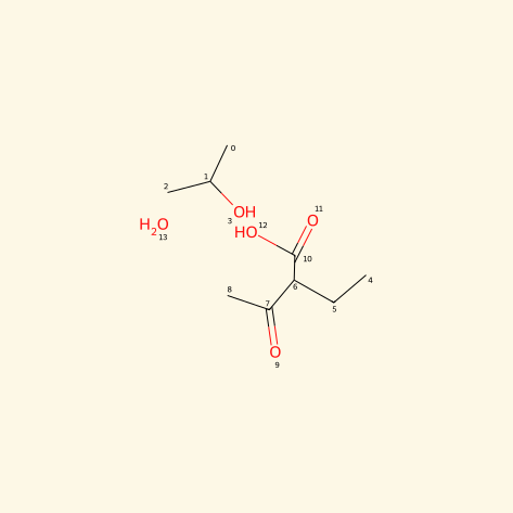 CC(C)O.CCC(C(C)=O)C(=O)O.O